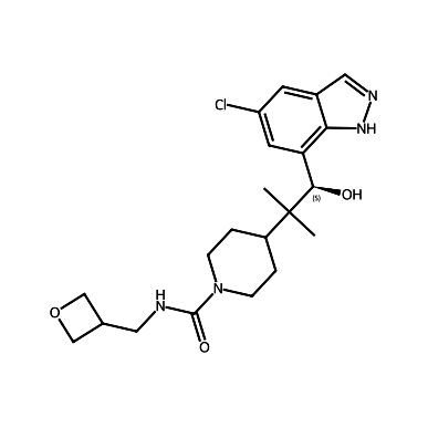 CC(C)(C1CCN(C(=O)NCC2COC2)CC1)[C@H](O)c1cc(Cl)cc2cn[nH]c12